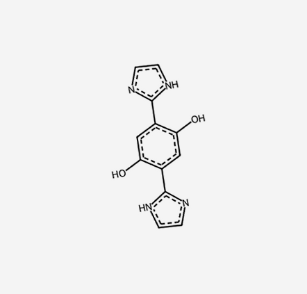 Oc1cc(-c2ncc[nH]2)c(O)cc1-c1ncc[nH]1